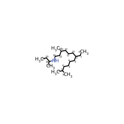 CCC(CCCCC(C)C)CCC[C@H](C)CCNC(C)CC